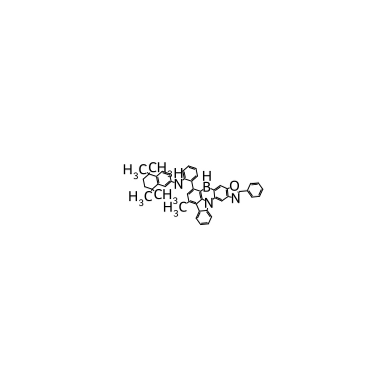 Cc1cc(-c2ccccc2Nc2ccc3c(c2)C(C)(C)CCC3(C)C)c2c3c1c1ccccc1n3-c1cc3nc(-c4ccccc4)oc3cc1B2